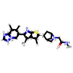 Cc1c(-c2[nH]c3sc([C@@H]4CC5CC4CN5CC(=O)NC(C)C)c(C)c3c2C(C)C)cn2ncnc2c1C